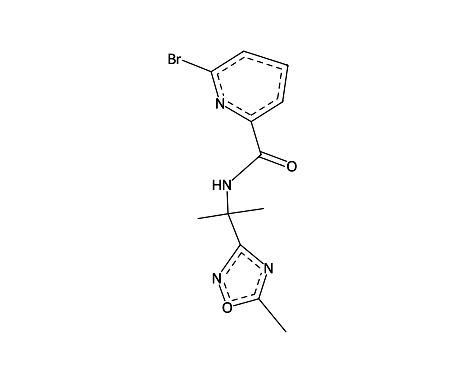 Cc1nc(C(C)(C)NC(=O)c2cccc(Br)n2)no1